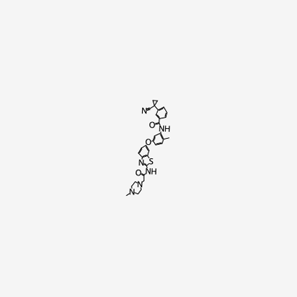 Cc1ccc(Oc2ccc3nc(NC(=O)CN4CCN(C)CC4)sc3c2)cc1NC(=O)c1cccc(C2(C#N)CC2)c1